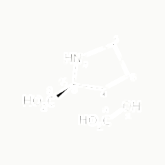 O=C(O)O.O=C(O)[C@@H]1CCCN1